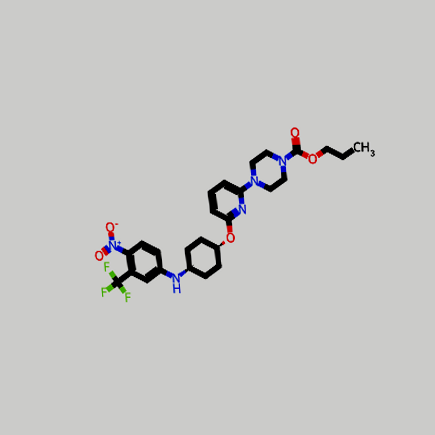 CCCOC(=O)N1CCN(c2cccc(O[C@H]3CC[C@H](Nc4ccc([N+](=O)[O-])c(C(F)(F)F)c4)CC3)n2)CC1